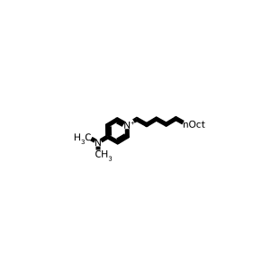 CCCCCCCCCCCCC[n+]1ccc(N(C)C)cc1